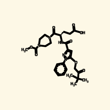 COC(=O)N1CCN(C(=O)[C@H](CCC(=O)O)NC(=O)c2cc(OCC(=O)C(C)(C)C)n(-c3ccccc3)n2)CC1